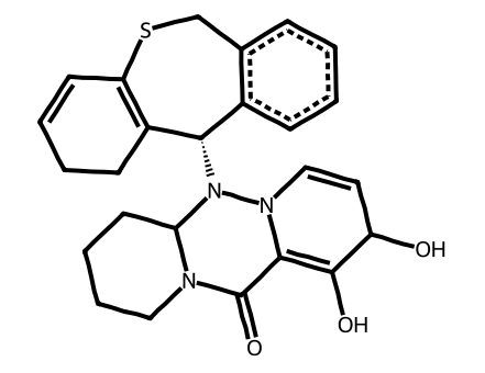 O=C1C2=C(O)C(O)C=CN2N([C@@H]2C3=C(C=CCC3)SCc3ccccc32)C2CCCCN12